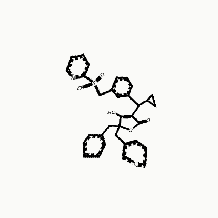 O=C1OC(Cc2ccccc2)(Cc2ccccc2)C(O)=C1C(c1cccc(CS(=O)(=O)c2ccccn2)c1)C1CC1